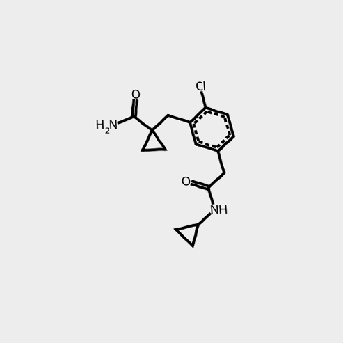 NC(=O)C1(Cc2cc(CC(=O)NC3CC3)ccc2Cl)CC1